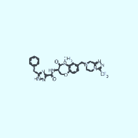 CN1C(=O)C(NC(=O)c2n[nH]c(Cc3ccccc3)n2)COc2ccc(CN3CCn4c(nnc4C(F)(F)F)C3)cc21